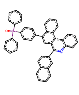 O=P(c1ccccc1)(c1ccccc1)c1ccc(-c2cc3c(-c4ccc5ccccc5c4)nc4ccccc4c3c3ccccc23)cc1